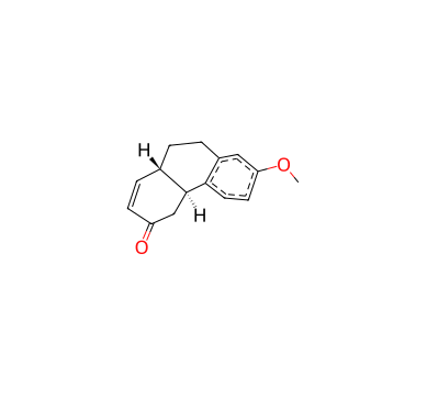 COc1ccc2c(c1)CC[C@H]1C=CC(=O)C[C@H]21